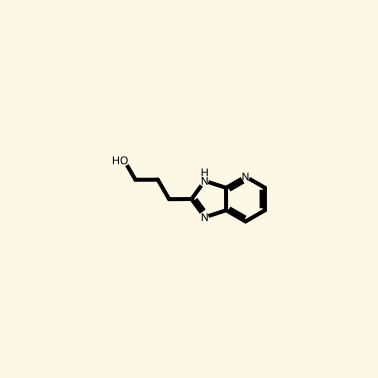 OCCCc1nc2cccnc2[nH]1